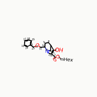 CCCCCCOC(=O)C1=C(O)C2CCC(COCc3ccccc3)N(C1)C2